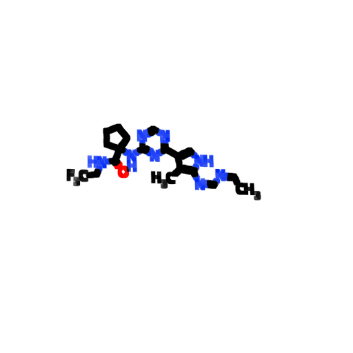 C/C=N\C=N/c1[nH]cc(-c2ncnc(NC3(C(=O)NCC(F)(F)F)CCCC3)n2)c1C